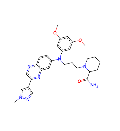 COc1cc(OC)cc(N(CCCN2CCCCC2C(N)=O)c2ccc3ncc(-c4cnn(C)c4)nc3c2)c1